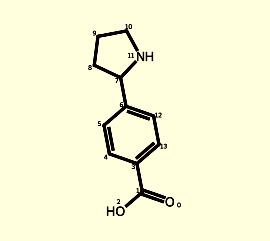 O=C(O)c1ccc(C2CCCN2)cc1